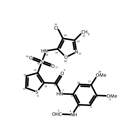 COc1cc(NC=O)c(NC(=O)c2sccc2S(=O)(=O)Nc2onc(C)c2Cl)cc1OC